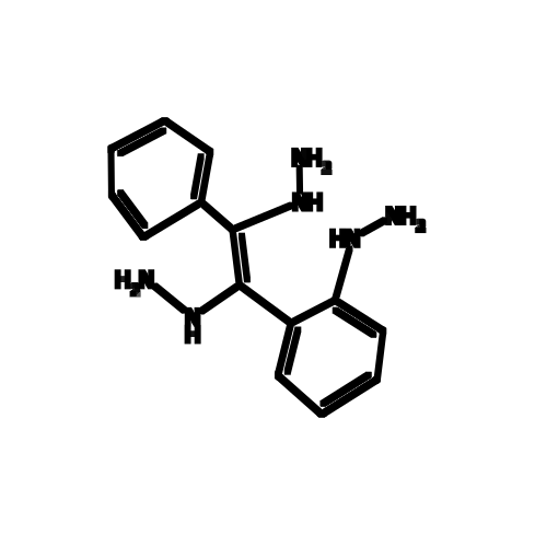 NNC(=C(NN)c1ccccc1NN)c1ccccc1